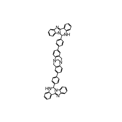 c1ccc2c(c1)NC(c1ccc(-c3ccc4c(c3)CN3CN4Cc4cc(-c5ccc(C6Nc7ccccc7-c7nc8ccccc8n76)cc5)ccc43)cc1)n1c-2nc2ccccc21